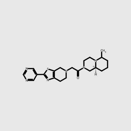 CC1CCC[C@H]2CN(C(=O)CN3CCc4nc(-c5cncnc5)sc4C3)CCN12